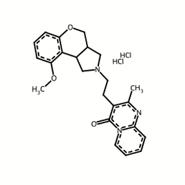 COc1cccc2c1C1CN(CCc3c(C)nc4ccccn4c3=O)CC1CO2.Cl.Cl